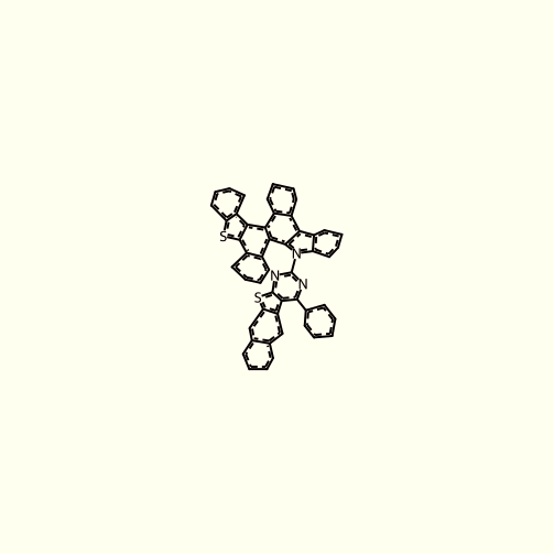 c1ccc(-c2nc(-n3c4ccccc4c4c5ccccc5c5c6c7ccccc7sc6c6ccccc6c5c43)nc3sc4cc5ccccc5cc4c23)cc1